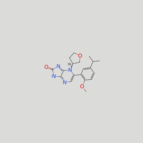 COc1ccc(C(C)C)cc1C1=CN=C2[N]C(=O)N=C2N1[C@H]1CCOC1